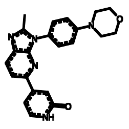 Cc1nc2ccc(-c3cc[nH]c(=O)c3)nc2n1-c1ccc(N2CCOCC2)cc1